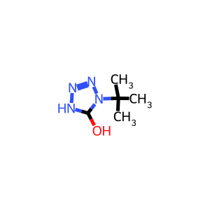 CC(C)(C)N1N=NNC1O